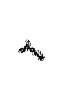 Cc1cc(CNC(=O)Nc2ccc(-c3nc(CS(C)(=O)=O)cc(N4CCOC[C@@H]4C)n3)cc2)no1